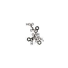 CC1CCCCC1OC(=O)NC(C)(Cc1c[nH]c2ccccc12)C(=O)NC(CNC(=O)CCC(=O)O)Cc1ccccc1